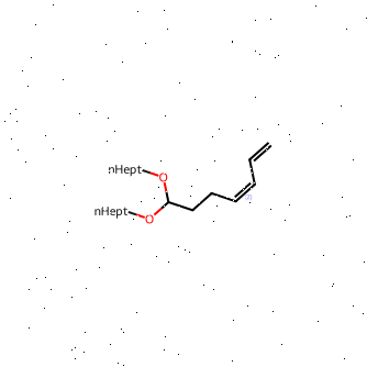 C=C/C=C\CCC(OCCCCCCC)OCCCCCCC